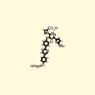 CCCCCCCOc1ccc(-c2cnc(-c3ccc(C[C@H](NC(=O)c4ccc(C(C)(C)C)s4)C(=O)N4CCC4C(=O)O)cc3)nc2)cc1